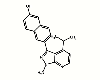 CC(C)c1ncnc2c1c(-c1ccc3cc(O)ccc3c1)nn2N